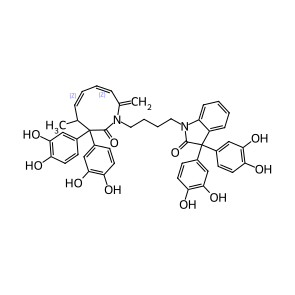 C=C1/C=C\C=C/C(C)C(c2ccc(O)c(O)c2)(c2ccc(O)c(O)c2)C(=O)N1CCCCN1C(=O)C(c2ccc(O)c(O)c2)(c2ccc(O)c(O)c2)c2ccccc21